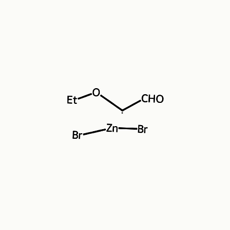 CCO[CH]C=O.[Br][Zn][Br]